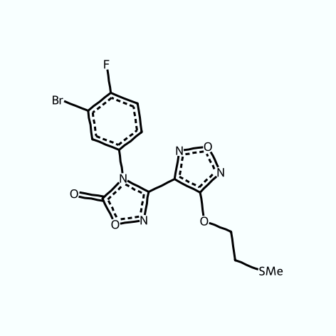 CSCCOc1nonc1-c1noc(=O)n1-c1ccc(F)c(Br)c1